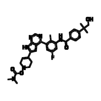 Cc1c(NC(=O)c2ccc(C(C)(C)CO)cc2)cc(F)cc1-c1ncnc2[nH]c(C3=CCN(OC(=O)N(C)C)CC3)cc12